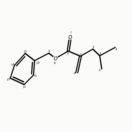 C=C(CC(C)C)C(=O)OCc1ccccc1